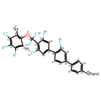 [2H]c1c(F)c(F)c(F)c([2H])c1OC(F)(F)c1c(F)cc(-c2ccc(-c3ccc(CCCCC)cc3)cc2F)cc1F